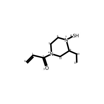 C=CC(=O)N1CCN(S)C(CC)C1